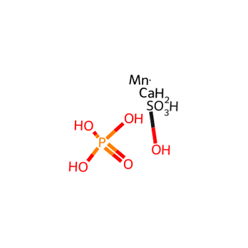 O=P(O)(O)O.O=S(=O)(O)O.[CaH2].[Mn]